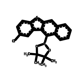 CC1(C)OB(c2c3ccccc3cc3sc4ccc(Cl)cc4c23)OC1(C)C